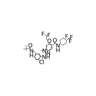 Cn1c(Nc2cc(CNC(=O)C(C)(C)C)ccc2Cl)nc2cc(C(=O)N[C@H]3CC[C@H](C(F)(F)F)CC3)c(OCC(F)F)cc21